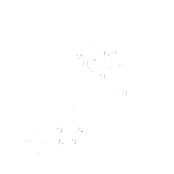 CCOP(=O)(O)Cn1nnnc1SCC1=C(C(=O)O)N2C(=O)[C@](NC(=O)Cc3cccs3)(OC)[C@H]2SC1